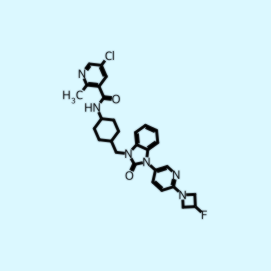 Cc1ncc(Cl)cc1C(=O)NC1CCC(Cn2c(=O)n(-c3ccc(N4CC(F)C4)nc3)c3ccccc32)CC1